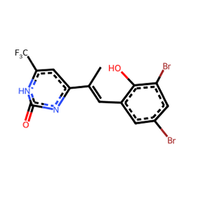 C/C(=C\c1cc(Br)cc(Br)c1O)c1cc(C(F)(F)F)[nH]c(=O)n1